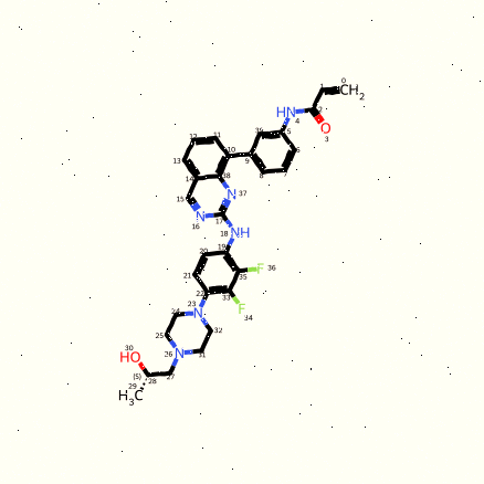 C=CC(=O)Nc1cccc(-c2cccc3cnc(Nc4ccc(N5CCN(C[C@H](C)O)CC5)c(F)c4F)nc23)c1